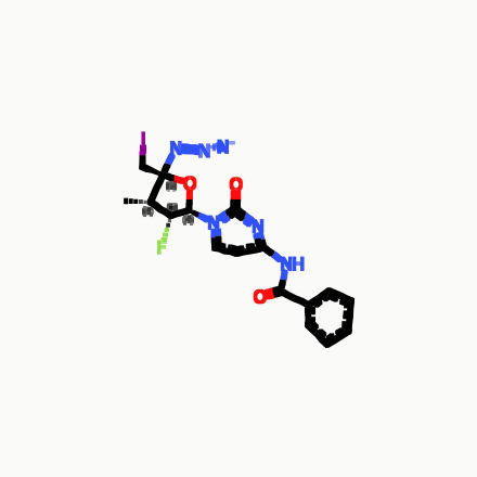 C[C@H]1[C@@H](F)[C@H](n2ccc(NC(=O)c3ccccc3)nc2=O)O[C@@]1(CI)N=[N+]=[N-]